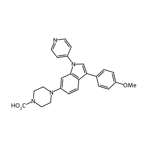 COc1ccc(-c2cn(-c3ccncc3)c3cc(N4CCN(C(=O)O)CC4)ccc23)cc1